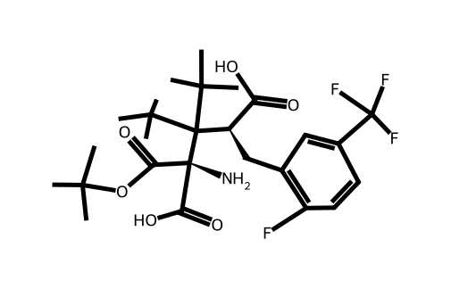 CC(C)(C)OC(=O)[C@@](N)(C(=O)O)C([C@H](Cc1cc(C(F)(F)F)ccc1F)C(=O)O)(C(C)(C)C)C(C)(C)C